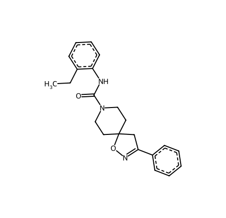 CCc1ccccc1NC(=O)N1CCC2(CC1)CC(c1ccccc1)=NO2